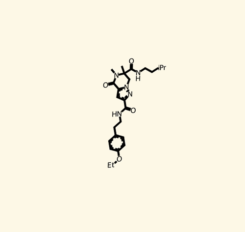 CCOc1ccc(CCNC(=O)c2cc3n(n2)CC(C)(C(=O)NCCC(C)C)N(C)C3=O)cc1